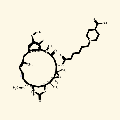 COc1cc2cc(c1Cl)N(C)C(=O)C[C@H](OC(=O)CCCCCN1CCC(C(=O)O)CC1)[C@]1(C)O[C@H]1[C@H](C)[C@@H]1C[C@@H](NC(=O)O1)[C@H](OC)/C=C/C=C(\C)C2